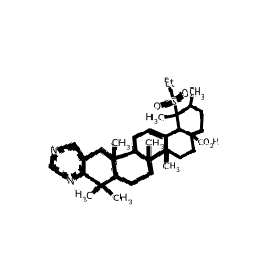 CCS(=O)(=O)C1(C)C(C)CCC2(C(=O)O)CCC3(C)C(=CCC4C5(C)Cc6cncnc6C(C)(C)C5CCC43C)C21